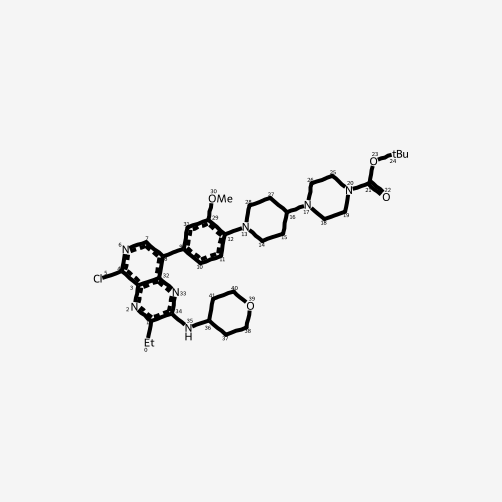 CCc1nc2c(Cl)ncc(-c3ccc(N4CCC(N5CCN(C(=O)OC(C)(C)C)CC5)CC4)c(OC)c3)c2nc1NC1CCOCC1